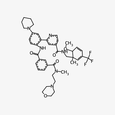 COC1C=CC(C(F)(F)F)=CC1(C)CNC(=O)c1ccnc(-c2cc(N3CCCCC3)ccc2NC(=O)c2cccc(C(=O)N(C)CCN3CCOCC3)c2)c1